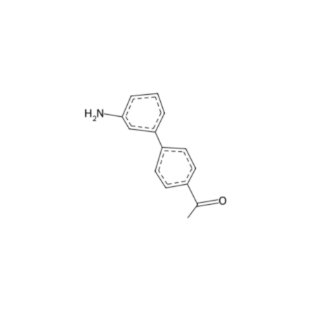 CC(=O)c1ccc(-c2cccc(N)c2)cc1